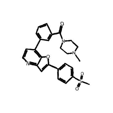 CN1CCN(C(=O)c2cccc(-c3ccnc4cc(-c5ccc(S(C)(=O)=O)cc5)oc34)c2)CC1